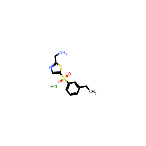 CCc1cccc(S(=O)(=O)c2cnc(CN)s2)c1.Cl